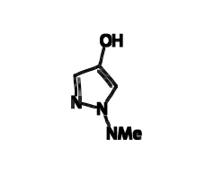 CNn1cc(O)cn1